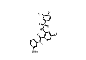 COc1cccc(N(C)C(=O)c2ncc(Cl)cc2NS(=O)(=O)c2ccc(Cl)c(C(F)(F)F)c2)c1